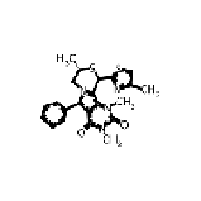 Cc1csc(C2S[C@@H](C)Cn3c(-c4ccccc4)c4c(=O)n(C)c(=O)n(C)c4c32)n1